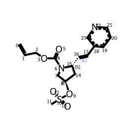 C=CCOC(=O)N1C[C@H](OS(C)(=O)=O)C[C@H]1/C=C/c1cccnc1